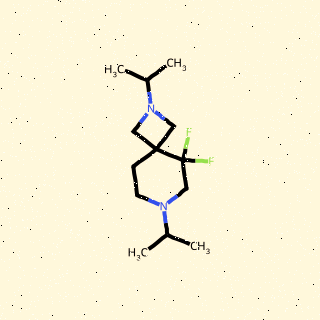 CC(C)N1CCC2(CN(C(C)C)C2)C(F)(F)C1